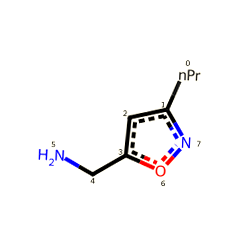 CCCc1cc(CN)on1